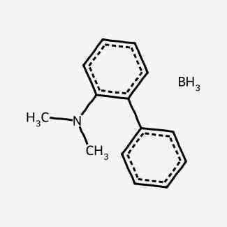 B.CN(C)c1ccccc1-c1ccccc1